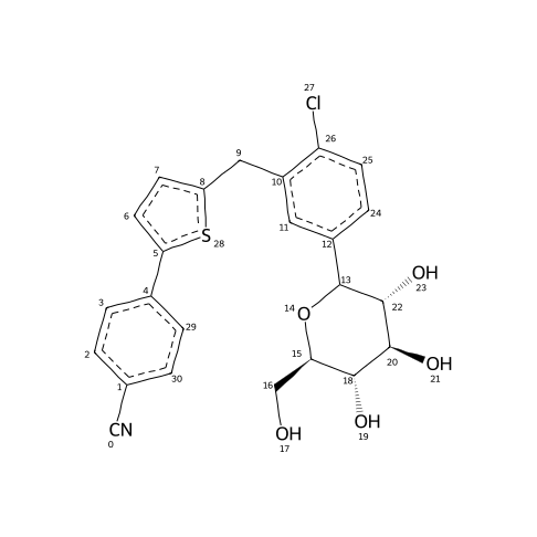 N#Cc1ccc(-c2ccc(Cc3cc(C4O[C@H](CO)[C@@H](O)[C@H](O)[C@H]4O)ccc3Cl)s2)cc1